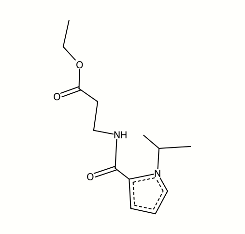 CCOC(=O)CCNC(=O)c1cccn1C(C)C